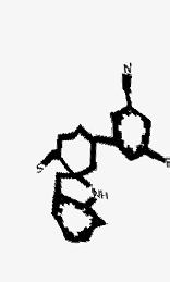 N#Cc1cc(F)cc(C2CCC(=S)C3(Cc4ccccc4N3)C2)c1